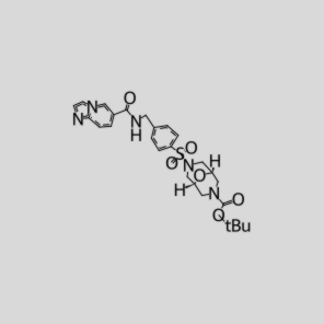 CC(C)(C)OC(=O)N1C[C@@H]2CN(S(=O)(=O)c3ccc(CNC(=O)c4ccc5nccn5c4)cc3)C[C@H](C1)O2